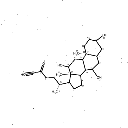 C#CC(=O)CC[C@@H](C)C1CCC2C3C(O)CC4CC(O)CC[C@]4(C)C3CC(O)[C@@]21C